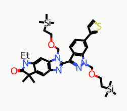 CCN1C(=O)C(C)(C)c2cc3nc(-c4nn(COCC[Si](C)(C)C)c5cc(-c6ccsc6)ccc45)n(COCC[Si](C)(C)C)c3cc21